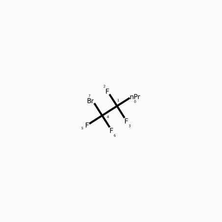 [CH2]CCC(F)(F)C(F)(F)Br